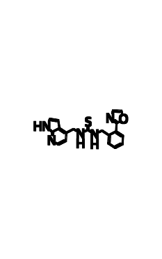 S=C(NCc1ccccc1-c1ncco1)NCc1ccnc2[nH]ccc12